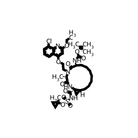 CCOc1cc(OCCN2C(=O)[C@@H](NC(=O)OC(C)(C)C)CCCCCCC[C@@H]3C[C@@]3(C(=O)NS(=O)(=O)OC3(C)CC3)NC(=O)[C@@H]2C)c2cccc(Cl)c2n1